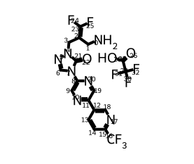 NCC(Cn1ncn(-c2cnc(-c3ccc(C(F)(F)F)nc3)cn2)c1=O)=C(F)F.O=C(O)C(F)(F)F